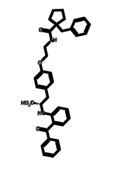 O=C(c1ccccc1)c1ccccc1N[C@@H](Cc1ccc(OCCNC(=O)C2(Cc3ccccc3)CCCC2)cc1)C(=O)O